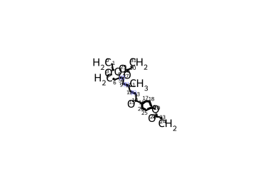 C=CC(=O)O/C(C=C)=C(/C=C(C)/C=C/C(=O)c1ccc(OC(=O)C=C)cc1)OC(=O)C=C